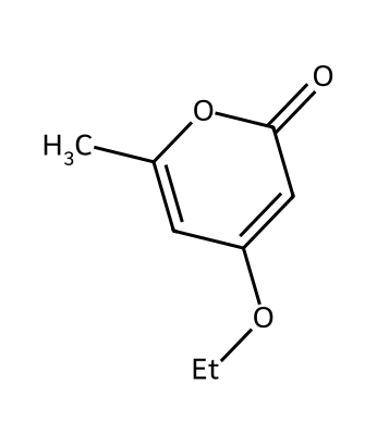 CCOc1cc(C)oc(=O)c1